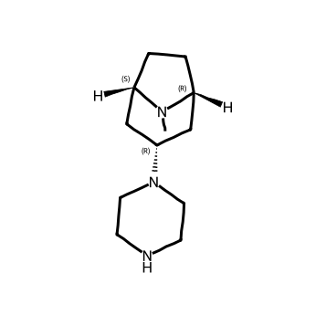 CN1[C@@H]2CC[C@H]1C[C@@H](N1CCNCC1)C2